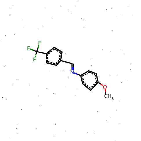 COc1ccc(/N=C/c2ccc(C(F)(F)F)cc2)cc1